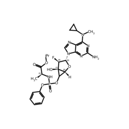 CC(C)OC(=O)[C@H](C)NP(=O)(Oc1ccccc1)OC1[C@H]2O[C@@H](n3cnc4c(N(C)C5CC5)nc(N)nc43)[C@H](F)[C@@]12O